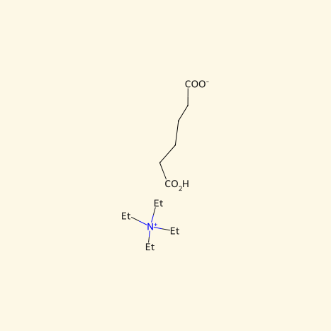 CC[N+](CC)(CC)CC.O=C([O-])CCCCC(=O)O